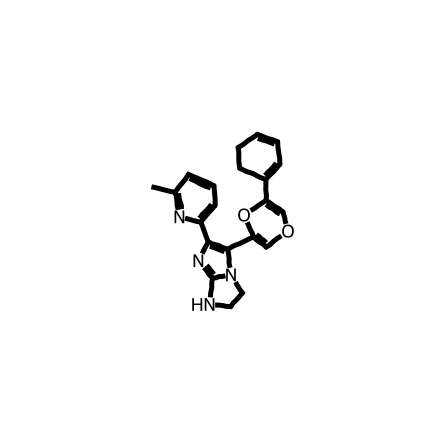 Cc1cccc(-c2nc3n(c2C2=COC=C(C4=CC=CCC4)O2)CCN3)n1